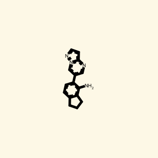 Nc1c(-c2cnc3ccnn3c2)ccc2c1CCC2